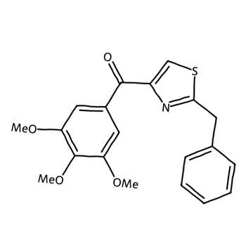 COc1cc(C(=O)c2csc(Cc3ccccc3)n2)cc(OC)c1OC